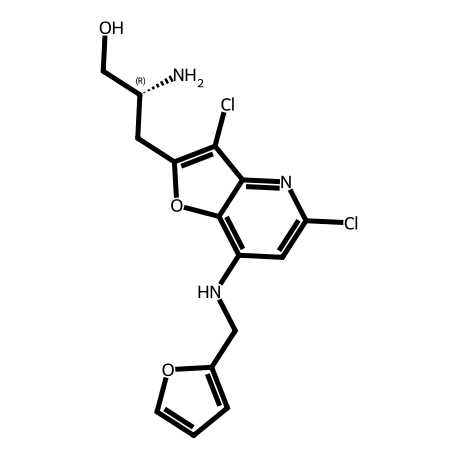 N[C@@H](CO)Cc1oc2c(NCc3ccco3)cc(Cl)nc2c1Cl